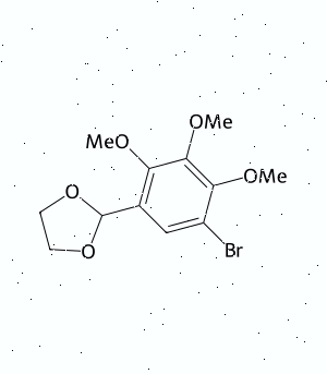 COc1c(Br)cc(C2OCCO2)c(OC)c1OC